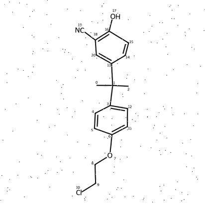 CC(C)(c1ccc(OCCCl)cc1)c1ccc(O)c(C#N)c1